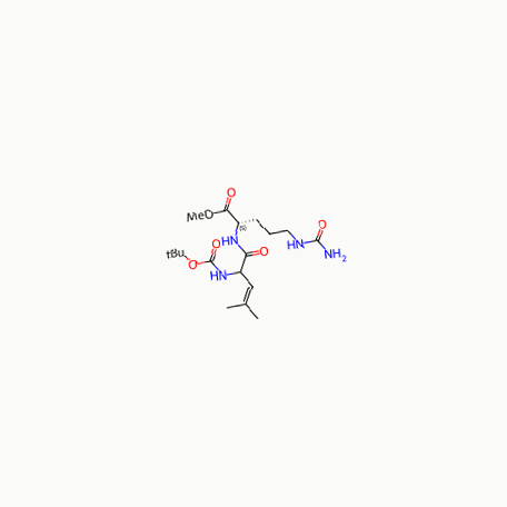 COC(=O)[C@H](CCCNC(N)=O)NC(=O)C(C=C(C)C)NC(=O)OC(C)(C)C